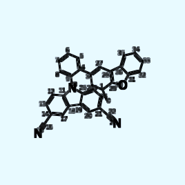 CC1CC(c2ccccc2-n2c3ccc(C#N)cc3c3cc(C#N)ccc32)=Cc2c1oc1ccccc21